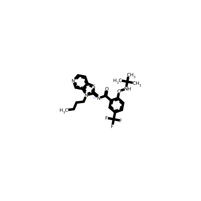 CCCCn1/c(=N/C(=O)c2cc(C(F)(F)F)ccc2ONC(C)(C)C)sc2ccncc21